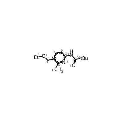 CCOCc1ccc(NC(=O)C(C)(C)C)nc1C